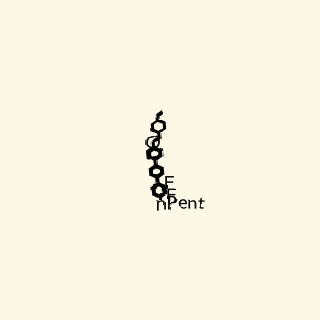 C=CC1CCC(COc2ccc(-c3ccc(-c4ccc(CCCCC)c(F)c4F)cc3)cc2)CC1